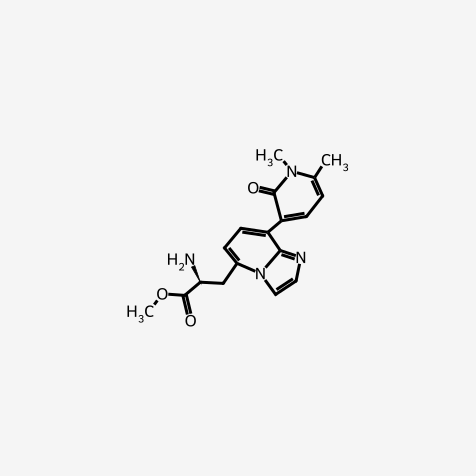 COC(=O)[C@@H](N)Cc1ccc(-c2ccc(C)n(C)c2=O)c2nccn12